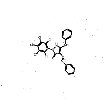 O=c1c(/N=N/c2ccccc2)c(Nc2ccccc2)[nH]n1-c1c(Cl)c(Cl)c(Cl)c(Cl)c1Cl